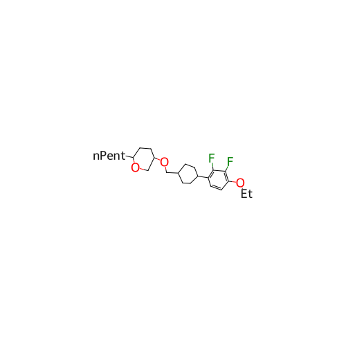 CCCCCC1CCC(OCC2CCC(c3ccc(OCC)c(F)c3F)CC2)CO1